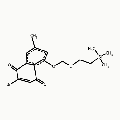 Cc1cc(OCOCC[Si](C)(C)C)c2c(c1)C(=O)C(Br)=CC2=O